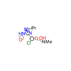 CNCC(O)COc1cc(Cl)cc(-c2cc(NC3CCOCC3)n3ncc(C(C)C)c3n2)c1